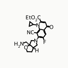 CCOC(=O)c1cc(=O)c2cc(F)c(N3C[C@@H]4CCO[C@]4(CN)C3)c(C#N)c2n1C1CC1